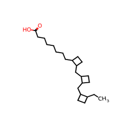 CCC1CCC1CC1CCC1CC1CCC1CCCCCCCC(=O)O